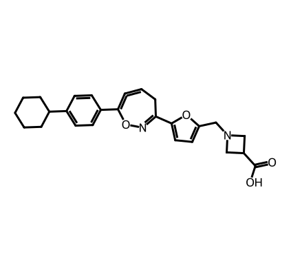 O=C(O)C1CN(Cc2ccc(C3=NOC(c4ccc(C5CCCCC5)cc4)=C=CC3)o2)C1